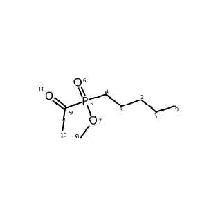 CCCCCP(=O)(OC)C(C)=O